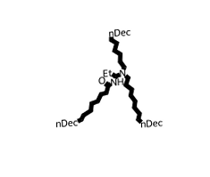 CCCCCCCCCCCCCCCCCCN(CCCCCCCCCCCCCCCC)C(CC)NC(=O)CCCCCCCCCCCCCCCCC